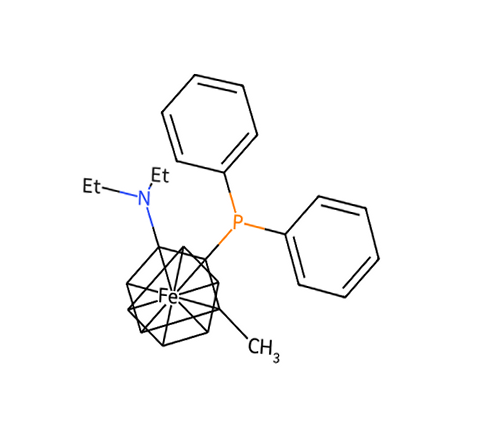 CCN(CC)[C]12[CH]3[CH]4[C]5(C)[C]1(P(c1ccccc1)c1ccccc1)[Fe]43521678[CH]2[CH]1[CH]6[CH]7[CH]28